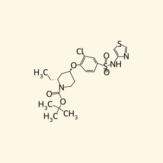 CC[C@@H]1C[C@@H](Oc2ccc(S(=O)(=O)Nc3cscn3)cc2Cl)CCN1C(=O)OC(C)(C)C